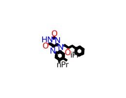 CCCc1cc2nc3c(=O)[nH]c(=O)nc-3n(CC(Cc3ccccc3)OC(C)C)c2cc1C